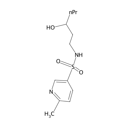 CCCC(O)CCNS(=O)(=O)c1ccc(C)nc1